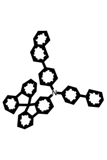 c1ccc(-c2ccc(N(c3ccc(-c4ccc5ccccc5c4)cc3)c3ccc4c(c3)C3(c5ccccc5-c5ccccc53)c3ccccc3-4)cc2)cc1